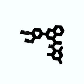 COc1ccc(-c2cc(C(=O)Nc3c(C)cc(C)cc3C)c3ccccc3n2)cc1OC